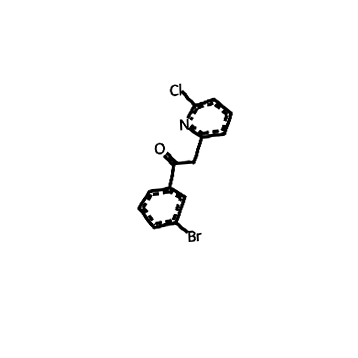 O=C(Cc1cccc(Cl)n1)c1cccc(Br)c1